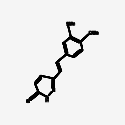 COc1ccc(/C=C/c2ccc(=O)[nH]n2)cc1SC